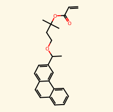 C=CC(=O)OC(C)(C)CCOC(C)c1ccc2ccc3ccccc3c2c1